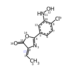 C/C=C1\N=C(c2ccc(Cl)c(NO)c2)OC1=O